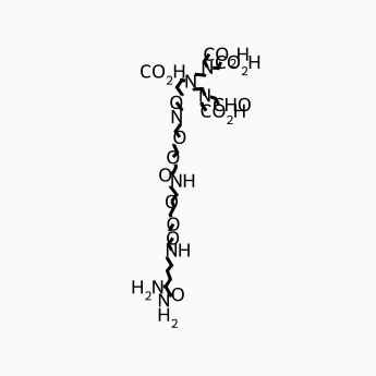 NC(=O)C(N)CCCCNCOCOCCOCCNC(=O)COCCOCCN=COCCC(C(=O)O)N(CCN(CC=O)CC(=O)O)CCN(CC(=O)O)CC(=O)O